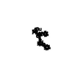 CC(C)(C)[Si](C)(C)OC[C@@H]1CN(Cc2ccccc2)C[C@@H](C#Cc2cccc(OCc3ccccc3)n2)O1